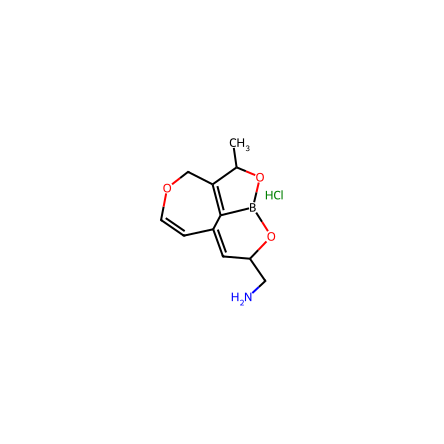 CC1OB2OC(CN)C=C3C=COCC1=C23.Cl